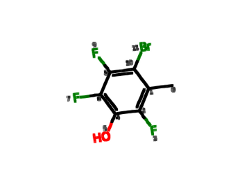 Cc1c(F)c(O)c(F)c(F)c1Br